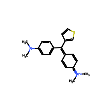 CN(C)c1ccc(C(=C2C=CC(=[N+](C)C)C=C2)c2ccsc2)cc1